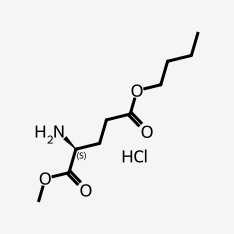 CCCCOC(=O)CC[C@H](N)C(=O)OC.Cl